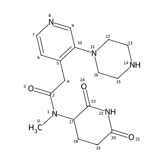 CN(C(=O)Cc1ccncc1N1CCNCC1)C1CCC(=O)NC1=O